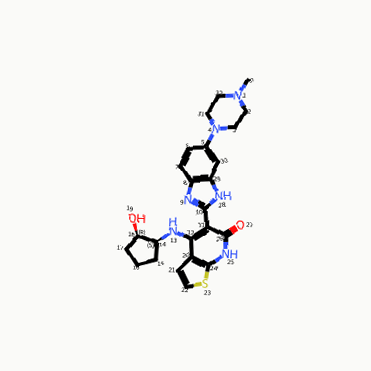 CN1CCN(c2ccc3nc(-c4c(N[C@H]5CCC[C@H]5O)c5ccsc5[nH]c4=O)[nH]c3c2)CC1